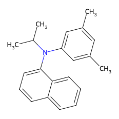 Cc1cc(C)cc(N(c2cccc3ccccc23)C(C)C)c1